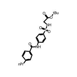 CCCc1ccc(C(=O)Nc2ccc(S(=O)(=O)NCC(=O)OC(C)(C)C)cc2)cc1